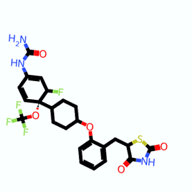 NC(=O)NC1=CC(F)[C@@](OC(F)(F)F)(C2CCC(Oc3ccccc3CC3SC(=O)NC3=O)CC2)C=C1